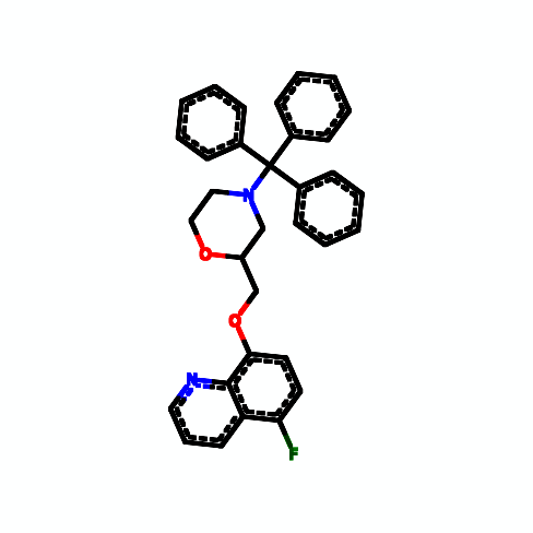 Fc1ccc(OCC2CN(C(c3ccccc3)(c3ccccc3)c3ccccc3)CCO2)c2ncccc12